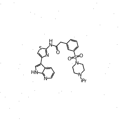 CC(C)N1CCN(S(=O)(=O)c2cccc(CC(=O)Nc3nc(-c4c[nH]c5ncccc45)cs3)c2)CC1